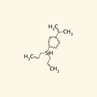 C=CC[SiH](CC=C)c1ccc(C(=C)C)cc1